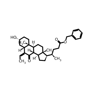 CC=C1C(=O)[C@@H]2[C@H](CC[C@]3(C)[C@@H]([C@H](C)CCC(=O)OCc4ccccc4)CC[C@@H]23)[C@@]2(C)CC[C@@H](O)C[C@@H]12